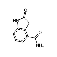 NC(=O)c1cccc2c1CC(=O)N2